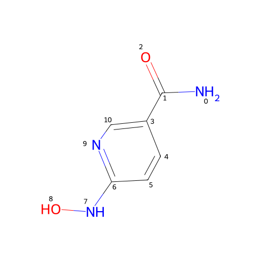 NC(=O)c1ccc(NO)nc1